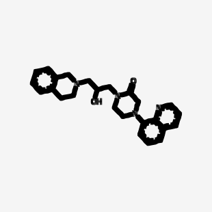 O=C1CN(c2cccc3cccnc23)CCN1CC(O)CN1CCc2ccccc2C1